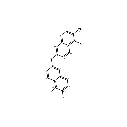 Cc1ccc2cc(Cc3ccc4c(C)c(O)ccc4c3)ccc2c1C